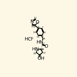 Cl.O=C(NCc1ccc(-c2cnco2)cc1)[C@@H]1C[C@@H](O)CN1